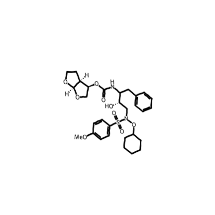 COc1ccc(S(=O)(=O)N(C[C@H](O)C(Cc2ccccc2)NC(=O)O[C@H]2CO[C@H]3OCC[C@H]32)OC2CCCCC2)cc1